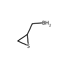 BCC1CS1